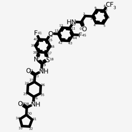 O=C(Cc1cccc(C(F)(F)F)c1)Nc1cc(Oc2cc3sc(NC(=O)C4CCC(NC(=O)C5CCCC5)CC4)nc3cc2F)ccc1F